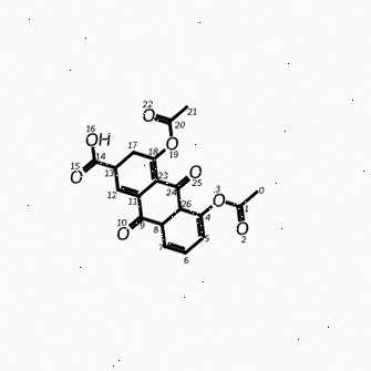 CC(=O)OC1=CC=CC2C(=O)C3=CC(C(=O)O)CC(OC(C)=O)=C3C(=O)C12